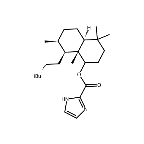 CC[C@@H](C)CC[C@H]1[C@@H](C)CC[C@H]2C(C)(C)CCC(OC(=O)c3ncc[nH]3)[C@]12C